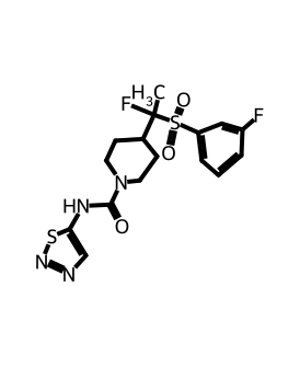 CC(F)(C1CCN(C(=O)Nc2cnns2)CC1)S(=O)(=O)c1cccc(F)c1